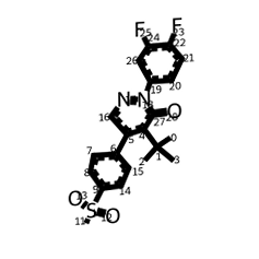 CC(C)(C)c1c(-c2ccc(S(C)(=O)=O)cc2)cnn(-c2ccc(F)c(F)c2)c1=O